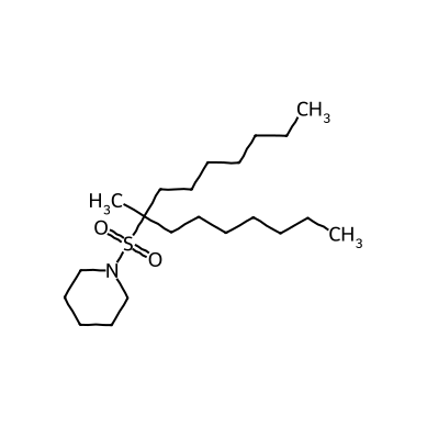 CCCCCCCC(C)(CCCCCCC)S(=O)(=O)N1CCCCC1